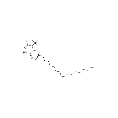 CCCCCCCC/C=C\CCCCCCCC(=O)NC(C(=O)O)C(C(=O)[O-])[N+](C)(C)C